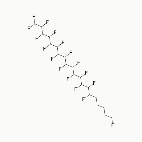 FCCCCCC(F)C(F)C(F)C(F)C(F)C(F)C(F)C(F)C(F)C(F)C(F)C(F)C(F)C(F)C(F)F